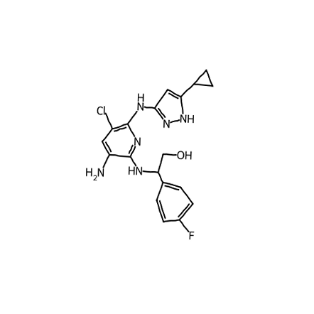 Nc1cc(Cl)c(Nc2cc(C3CC3)[nH]n2)nc1NC(CO)c1ccc(F)cc1